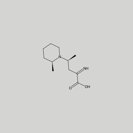 C[C@H]1CCCCN1[C@@H](C)CC(=N)C(=O)O